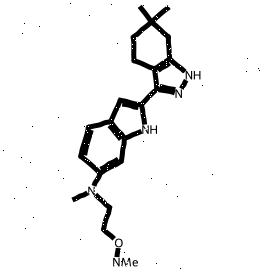 CNOCCN(C)c1ccc2cc(-c3n[nH]c4c3CCC(C)(C)C4)[nH]c2c1